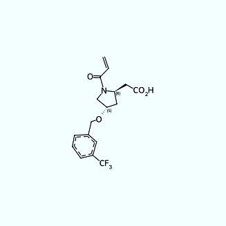 C=CC(=O)N1C[C@@H](OCc2cccc(C(F)(F)F)c2)C[C@@H]1CC(=O)O